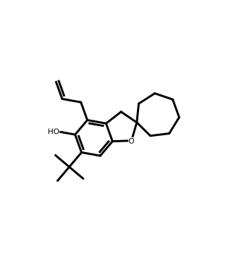 C=CCc1c(O)c(C(C)(C)C)cc2c1CC1(CCCCCC1)O2